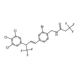 O=C(CC(F)(F)F)NCc1ccc(/C=C/C(c2cc(Cl)c(Cl)c(Cl)c2)C(F)(F)F)cc1Br